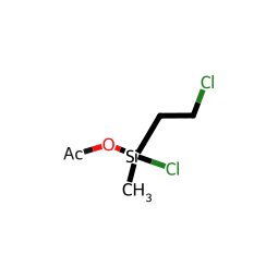 CC(=O)O[Si](C)(Cl)CCCl